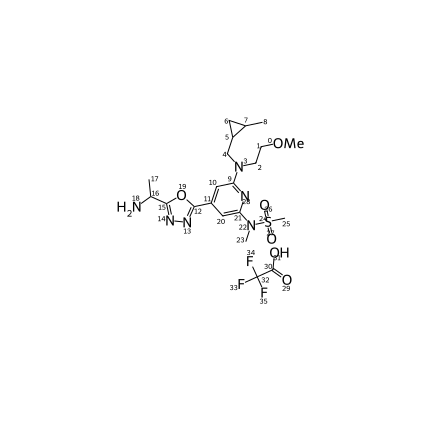 COCCN(CC1CC1C)c1cc(-c2nnc(C(C)N)o2)cc(N(C)S(C)(=O)=O)n1.O=C(O)C(F)(F)F